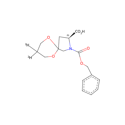 [2H]C1([2H])COC2(C[C@@H](C(=O)O)N(C(=O)OCc3ccccc3)C2)OC1